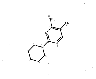 N#Cc1cnc(N2CCCCC2)nc1N